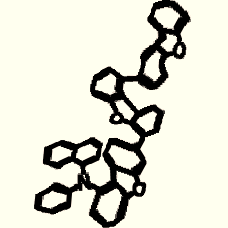 c1ccc(N(c2cccc3ccccc23)c2cccc3oc4cc(-c5cccc6c5oc5cccc(-c7ccc8oc9ccccc9c8c7)c56)ccc4c23)cc1